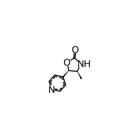 C[C@@H]1NC(=O)O[C@@H]1c1ccncc1